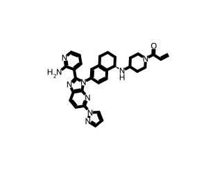 C=CC(=O)N1CCC(N[C@H]2CCCc3cc(-n4c(-c5cccnc5N)nc5ccc(-n6cccn6)nc54)ccc32)CC1